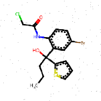 CCCC(O)(c1cccs1)c1cc(Br)ccc1NC(=O)CCl